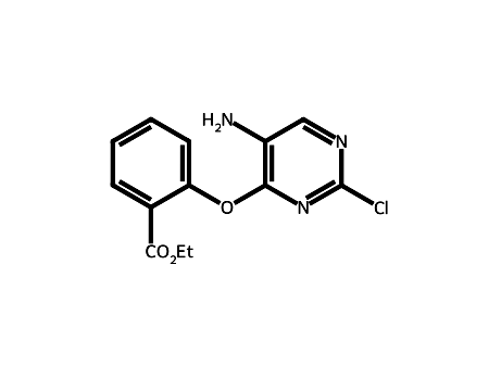 CCOC(=O)c1ccccc1Oc1nc(Cl)ncc1N